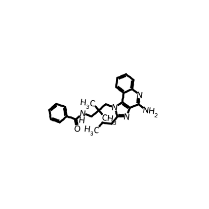 CCCc1nc2c(N)nc3ccccc3c2n1CC(C)(C)CNC(=O)c1ccccc1